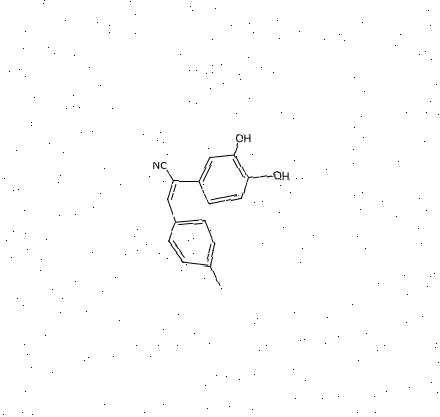 Cc1ccc(C=C(C#N)c2ccc(O)c(O)c2)cc1